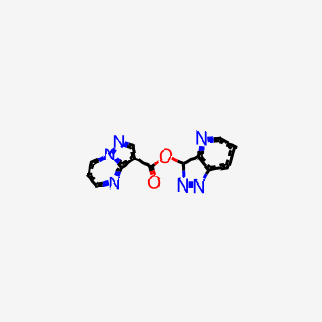 O=C(OC1N=Nc2cccnc21)c1cnn2cccnc12